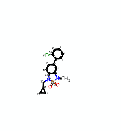 CN1c2cc(-c3ccccc3F)ccc2N(CC2CC2)S1(=O)=O